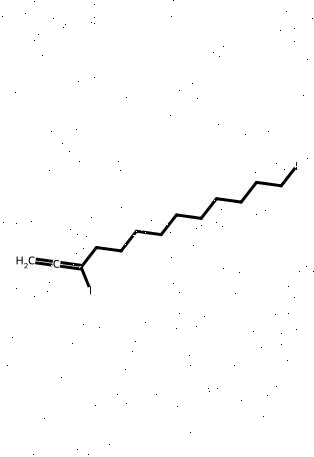 C=C=C(I)CCCCCCCCCCI